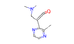 Cc1nccnc1C(=C=O)CN(C)C